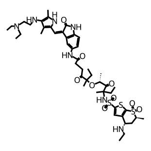 CCN[C@H]1C[C@H](C)S(=O)(=O)c2sc(S(=O)(=O)NC(C)(CC)C(=O)[C@@H](C)OC(C)(CC)C(=O)CCC(=O)Nc3ccc4c(c3)/C(=C/c3[nH]c(C)c(NCCN(CC)CC)c3C)C(=O)N4)cc21